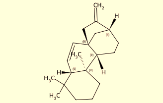 C=C1C[C@]23C=C[C@H]4C(C)(C)CCC[C@]4(C)[C@H]2CC[C@@H]1C3